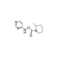 CC1CCCCN1C(=O)ONc1ccncn1